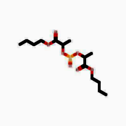 CCCCOC(=O)C(C)O[PH](=O)OC(C)C(=O)OCCCC